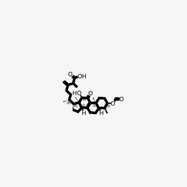 C=C(CC[C@@H](C)[C@H]1CC[C@H]2C3=C(C(=O)[C@H](O)[C@]12C)[C@@]1(C)CC[C@@H](OC=O)[C@@H](C)[C@@H]1CC3)C(C)C(=O)O